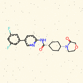 O=C1COCCN1[C@H]1CC[C@@H](C(=O)Nc2ccc(-c3cc(F)cc(F)c3)cn2)CC1